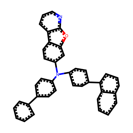 c1ccc(-c2ccc(N(c3ccc(-c4cccc5ccccc45)cc3)c3ccc4c(c3)oc3ncccc34)cc2)cc1